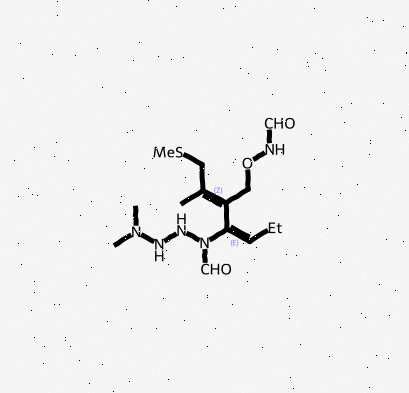 CC/C=C(\C(CONC=O)=C(/C)CSC)N(C=O)NNN(C)C